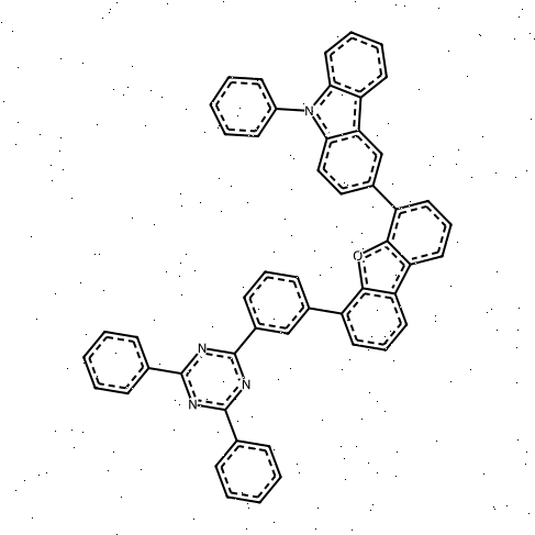 c1ccc(-c2nc(-c3ccccc3)nc(-c3cccc(-c4cccc5c4oc4c(-c6ccc7c(c6)c6ccccc6n7-c6ccccc6)cccc45)c3)n2)cc1